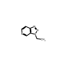 CCn1nnc2ccncc21